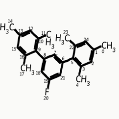 Cc1cc(C)c(-c2[c]c(-c3c(C)cc(C)cc3C)cc(F)c2)c(C)c1